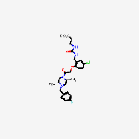 CCOC(=O)CCNC(=O)NCc1cc(Cl)ccc1OCC(=O)N1C[C@@H](C)N(Cc2ccc(F)cc2)C[C@@H]1C